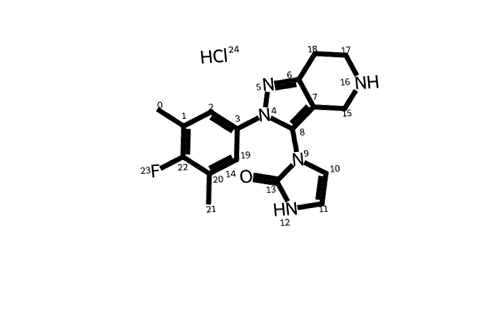 Cc1cc(-n2nc3c(c2-n2cc[nH]c2=O)CNCC3)cc(C)c1F.Cl